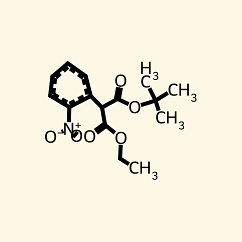 CCOC(=O)C(C(=O)OC(C)(C)C)c1ccccc1[N+](=O)[O-]